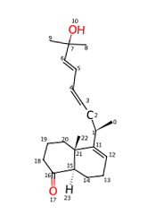 C[C@H](CC=CC=CC(C)(C)O)C1=CCC[C@H]2C(=O)CCC[C@]12C